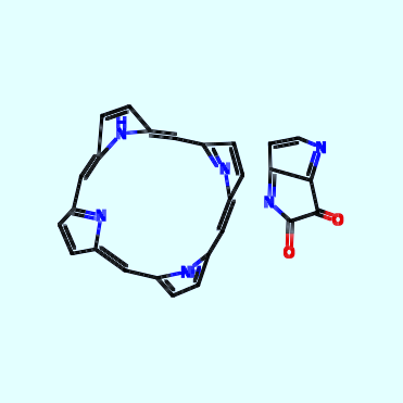 C1=Cc2cc3ccc(cc4nc(cc5ccc(cc1n2)[nH]5)C=C4)[nH]3.O=c1nc2ccnc-2c1=O